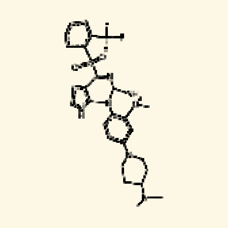 COc1cc(N2CCC(N(C)C)CC2)ccc1N1c2[nH]ccc2C(S(=O)(=O)c2ccccc2C(F)(F)F)=NC1N